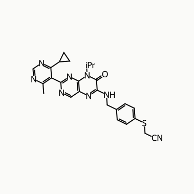 Cc1ncnc(C2CC2)c1-c1ncc2nc(NCc3ccc(SCC#N)cc3)c(=O)n(C(C)C)c2n1